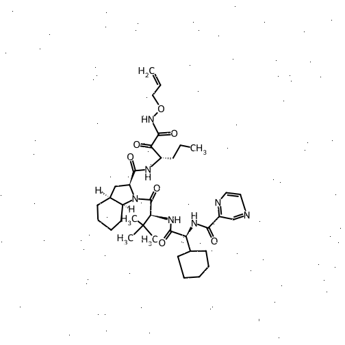 C=CCONC(=O)C(=O)[C@H](CCC)NC(=O)[C@@H]1C[C@@H]2CCCC[C@@H]2N1C(=O)[C@@H](NC(=O)[C@@H](NC(=O)c1cnccn1)C1CCCCC1)C(C)(C)C